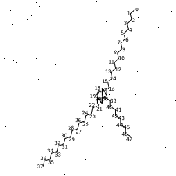 CCCCCCCCCCCCCCCCCn1cc[n+](CCCCCCCCCCCCCCCCC)c1CCCCCCCCC